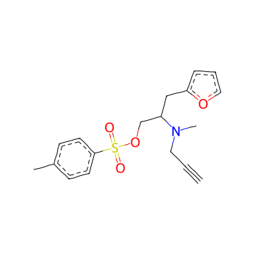 C#CCN(C)C(COS(=O)(=O)c1ccc(C)cc1)Cc1ccco1